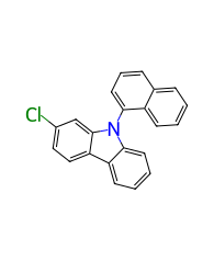 Clc1ccc2c3ccccc3n(-c3cccc4ccccc34)c2c1